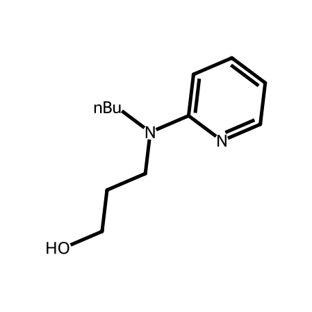 CCCCN(CCCO)c1ccccn1